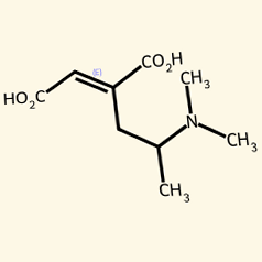 CC(C/C(=C\C(=O)O)C(=O)O)N(C)C